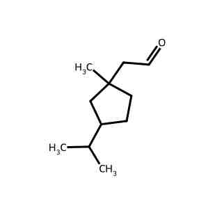 CC(C)C1CCC(C)(CC=O)C1